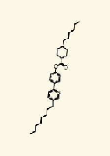 CCCCCCCCc1ccc(-c2ccc(OC(=O)[C@H]3CC[C@H](CCCCCC)CC3)cc2)nc1